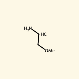 COCCN.Cl